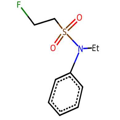 CCN(c1ccccc1)S(=O)(=O)CCF